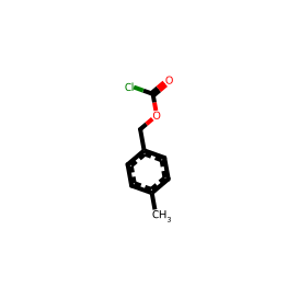 Cc1ccc(COC(=O)Cl)cc1